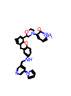 O=c1[nH]cccc1N1CCOC(c2cccc3c2Oc2ccc(NCc4cncc(-n5cccc5)c4)cc2C3)C1